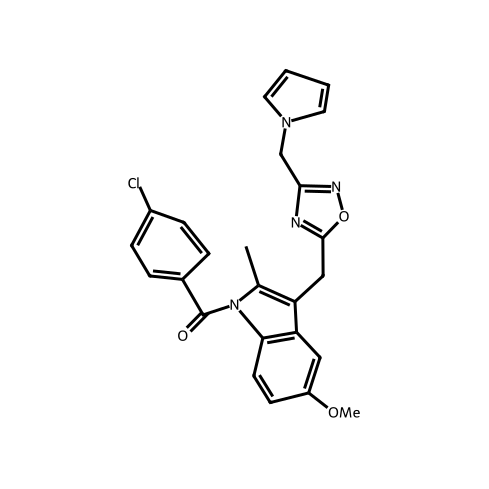 COc1ccc2c(c1)c(Cc1nc(Cn3cccc3)no1)c(C)n2C(=O)c1ccc(Cl)cc1